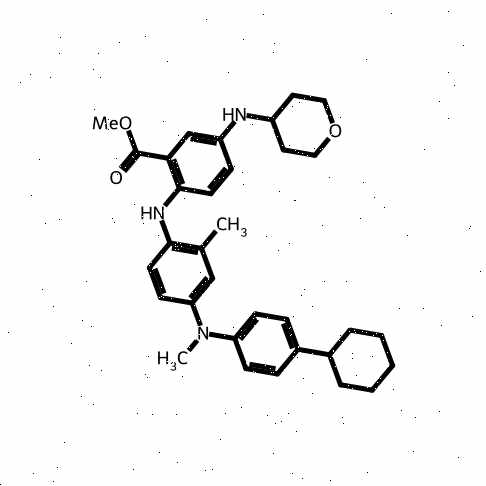 COC(=O)c1cc(NC2CCOCC2)ccc1Nc1ccc(N(C)c2ccc(C3CCCCC3)cc2)cc1C